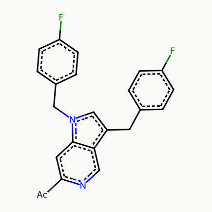 CC(=O)c1cc2c(cn1)c(Cc1ccc(F)cc1)cn2Cc1ccc(F)cc1